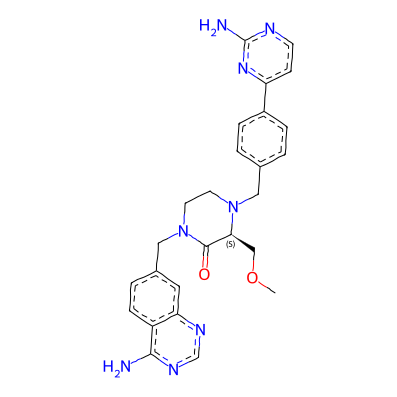 COC[C@H]1C(=O)N(Cc2ccc3c(N)ncnc3c2)CCN1Cc1ccc(-c2ccnc(N)n2)cc1